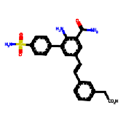 NC(=O)c1cc(/C=C/c2cccc(CC(=O)O)c2)cc(-c2ccc(S(N)(=O)=O)cc2)c1N